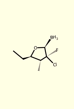 B[C@@H]1O[C@H](CC)[C@@H](C)[C@]1(F)Cl